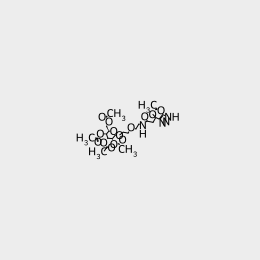 CC(=O)OC[C@H]1O[C@H](OCCOCCNC(=O)CC(OC(C)=O)c2c[nH]nn2)[C@H](OC(C)=O)[C@@H](OC(C)=O)[C@H]1OC(C)=O